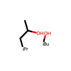 CC(C)CC(C)O.CCC(C)O